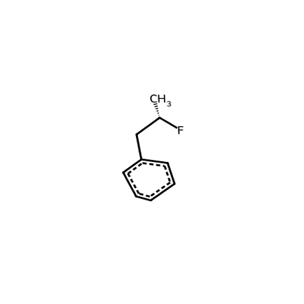 C[C@H](F)Cc1ccccc1